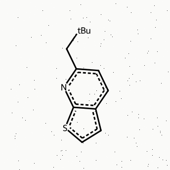 CC(C)(C)Cc1ccc2ccsc2n1